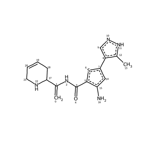 C=C(NC(=O)c1sc(-c2cn[nH]c2C)cc1N)C1CC=CCN1